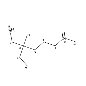 CCC(C)(CS)CCCNC